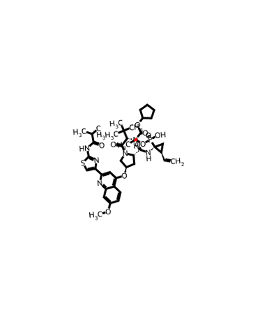 C=C[C@@H]1C[C@]1(NC(=O)[C@@H]1C[C@@H](Oc2cc(-c3csc(NC(=O)C(C)C)n3)nc3cc(OC)ccc23)CN1C(=O)[C@@H](NC(=O)OC1CCCC1)C(C)(C)C)P(=O)(O)OCC